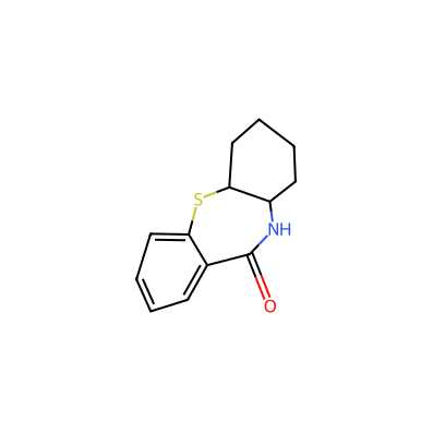 O=C1NC2CCCCC2Sc2ccccc21